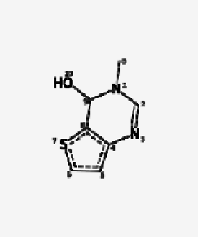 CN1C=Nc2ccsc2C1O